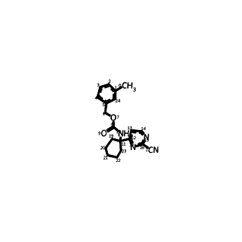 Cc1cccc(COC(=O)NC2(c3ccnc(C#N)n3)CCCCC2)c1